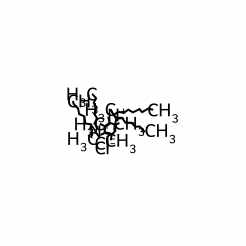 CCCCCCCC[N+](C)(CCCCCCCC)Cc1c(C)cc(C)c(C[N+](C)(CCCCCCCC)CCCCCCCC)c1C.[Cl-].[Cl-]